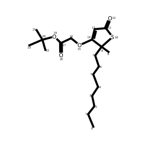 CCCCCCCCC1(C)SC(=O)C=C1OCC(=O)OC(C)(C)C